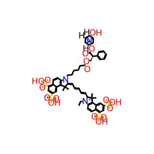 CC[N+]1=C(/C=C/C=C/C=C2/N(CCCCCC(=O)OC[C@@H](C(=O)O[C@H]3CC4[C@H](O)[C@H](C3)N4C)c3ccccc3)c3ccc4c(S(=O)(=O)O)cc(S(=O)(=O)O)cc4c3C2(C)C)C(C)(C)c2c1ccc1c(S(=O)(=O)O)cc(S(=O)(=O)O)cc21